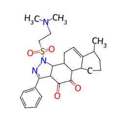 CC1CCCC2C1=CCC1C2C(=O)C(=O)C2C(c3ccccc3)=NN(S(=O)(=O)CCN(C)C)C21